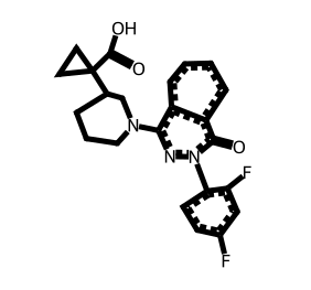 O=C(O)C1(C2CCCN(c3nn(-c4ccc(F)cc4F)c(=O)c4ccccc34)C2)CC1